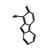 C=c1ccc2c(c1CCCC)C=c1ccccc1=2